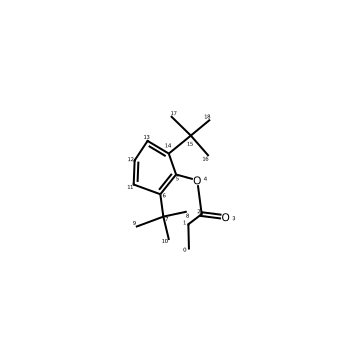 CCC(=O)Oc1c(C(C)(C)C)cccc1C(C)(C)C